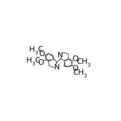 COc1ccc2c(c1OC)CCN=C2C1=NCCc2c1ccc(OC)c2OC